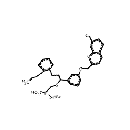 C=CCc1ccccc1CCC(SC[C@H](NC(C)=O)C(=O)O)c1cccc(OCc2ccc3ccc(Cl)cc3n2)c1